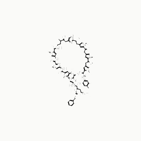 Cc1ccc(N=NC(=O)c2cc(CC(=O)c3cc(CC(=O)c4cc(CC(=O)c5nc(CC(=O)C(C)CCNC(=O)c6cc(NC(=O)c7nc(NC(=O)c8cc(NC(=O)c9nc(NC(=O)C(CCN)NC(=O)OCc%10ccccc%10)cn9C)cn8C)cn7C)cn6C)cn5C)cn4C)cn3C)cn2C)cc1